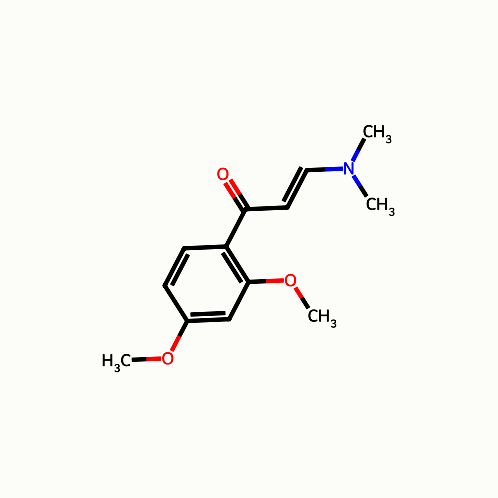 COc1ccc(C(=O)/C=C/N(C)C)c(OC)c1